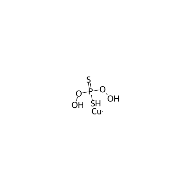 OOP(=S)(S)OO.[Cu]